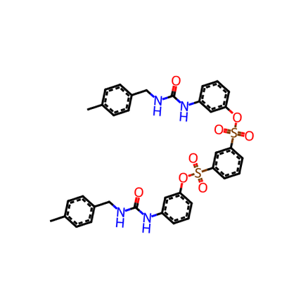 Cc1ccc(CNC(=O)Nc2cccc(OS(=O)(=O)c3cccc(S(=O)(=O)Oc4cccc(NC(=O)NCc5ccc(C)cc5)c4)c3)c2)cc1